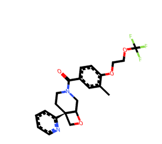 Cc1cc(C(=O)N2CC[C@@]3(c4ccccn4)COC3C2)ccc1OCCOC(F)(F)F